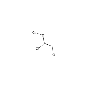 ClCC(Cl)[O][Ga]